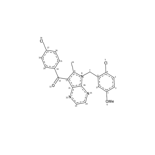 COc1ccc(Cl)c(Cn2c(C)c(C(=O)c3ccc(Cl)cc3)c3nccnc32)c1